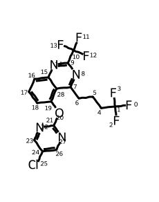 FC(F)(F)CCCc1nc(C(F)(F)F)nc2cccc(Oc3ncc(Cl)cn3)c12